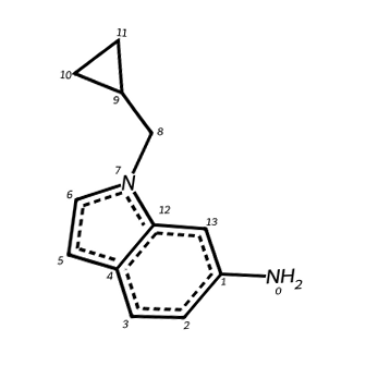 Nc1ccc2ccn(CC3CC3)c2c1